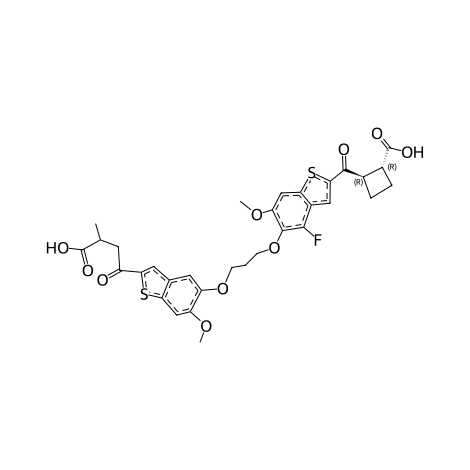 COc1cc2sc(C(=O)CC(C)C(=O)O)cc2cc1OCCCOc1c(OC)cc2sc(C(=O)[C@@H]3CC[C@H]3C(=O)O)cc2c1F